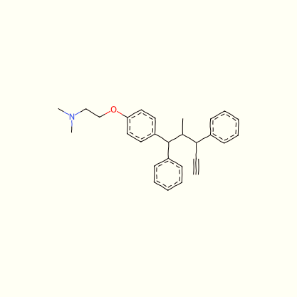 C#CC(c1ccccc1)C(C)C(c1ccccc1)c1ccc(OCCN(C)C)cc1